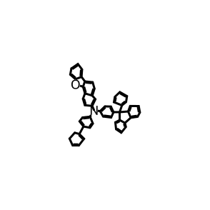 C1=CCCC(c2ccc(N(c3ccc(C4(c5ccccc5)c5ccccc5-c5ccccc54)cc3)c3ccc4c(ccc5c6ccccc6oc45)c3)cc2)=C1